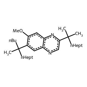 CCCCCCCC(C)(C)c1cnc2cc(C(C)(CCCC)CCCCCCC)c(OC)cc2n1